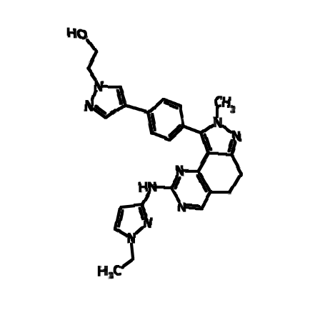 CCn1ccc(Nc2ncc3c(n2)-c2c(nn(C)c2-c2ccc(-c4cnn(CCO)c4)cc2)CC3)n1